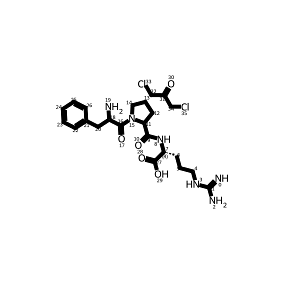 N=C(N)NCCC[C@@H](NC(=O)C1CCCN1C(=O)C(N)Cc1ccccc1)C(=O)O.O=C(CCl)CCl